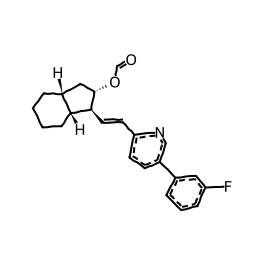 O=CO[C@H]1C[C@H]2CCCC[C@H]2[C@@H]1C=Cc1ccc(-c2cccc(F)c2)cn1